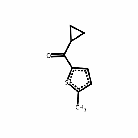 Cc1ccc(C(=O)C2CC2)s1